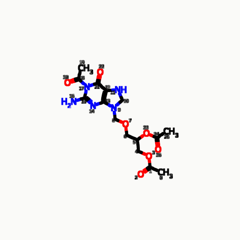 CC(=O)OCC(COCN1CNc2c1nc(N)n(C(C)=O)c2=O)OC(C)=O